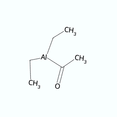 C[CH2][Al]([CH2]C)[C](C)=O